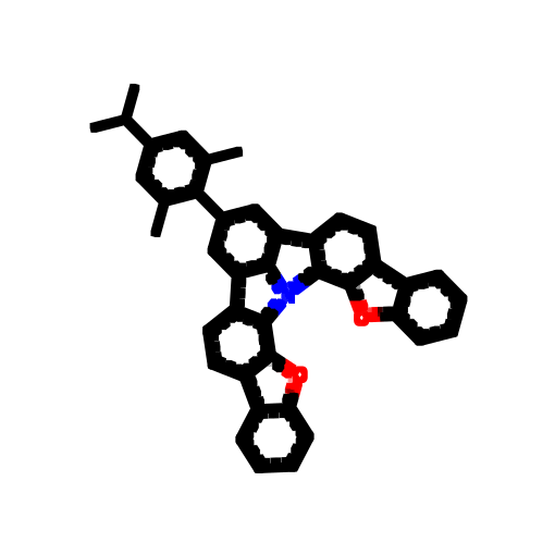 Cc1cc(C(C)C)cc(C)c1-c1cc2c3ccc4c5ccccc5oc4c3n3c2c(c1)c1ccc2c4ccccc4oc2c13